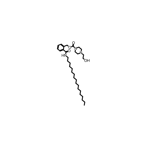 CCCCCCCCCCCCCCCCCCNC(=O)c1ccccc1COC(=O)N1CCN(CCO)CC1